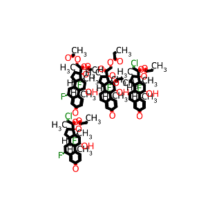 CC(=O)OCC(=O)[C@@]1(OC(C)=O)[C@@H](C)C[C@H]2[C@@H]3C[C@H](F)C4=CC(=O)C=C[C@]4(C)[C@@]3(F)[C@@H](O)C[C@@]21C.CCC(=O)OCC(=O)[C@@]1(OC(=O)CC)[C@@H](C)C[C@H]2[C@@H]3CCC4=CC(=O)C=C[C@]4(C)[C@@]3(F)[C@@H](O)C[C@@]21C.CCC(=O)O[C@]1(C(=O)CCl)[C@@H](C)C[C@H]2[C@@H]3CCC4=CC(=O)C=C[C@]4(C)[C@@]3(F)[C@@H](O)C[C@@]21C.CCC(=O)O[C@]1(C(=O)CCl)[C@@H](C)C[C@H]2[C@@H]3C[C@H](F)C4=CC(=O)C=C[C@]4(C)[C@@]3(F)[C@@H](O)C[C@@]21C